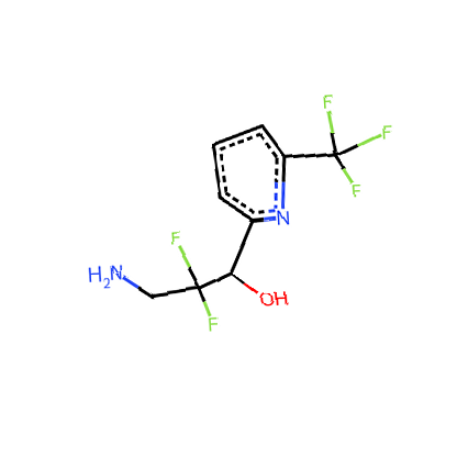 NCC(F)(F)C(O)c1cccc(C(F)(F)F)n1